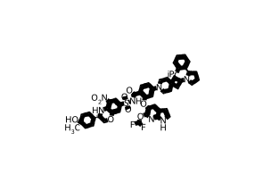 CC(C)c1ccccc1[C@H]1CCCN1C1CC2(CCN(c3ccc(C(=O)NS(=O)(=O)c4cc5c(c([N+](=O)[O-])c4)N[C@@H](C4CCC(C)(O)CC4)CO5)c(Oc4cc5cc[nH]c5nc4OC(F)F)c3)CC2)C1